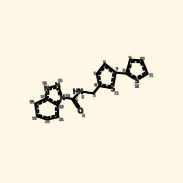 O=C(NCc1ccc(-c2cccs2)s1)n1nnc2ccccc21